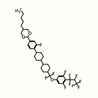 CCCCCC1COC(c2ccc(C3CCC(C4CCC(C(F)(F)Oc5cc(F)c(C(F)(F)C(F)C(F)(F)F)c(F)c5)CC4)CC3)c(F)c2)OC1